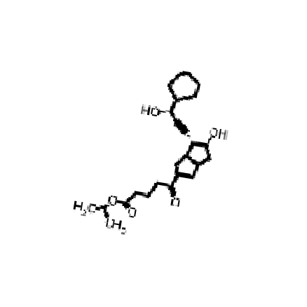 CC(C)OC(=O)CCCC(=O)C1=CC2C[C@H](O)[C@@H](C#C[C@@H](O)C3CCCCC3)C2C1